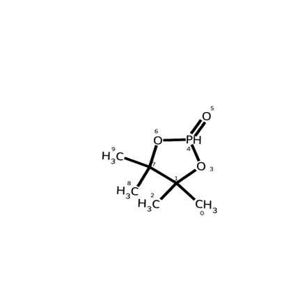 CC1(C)O[PH](=O)OC1(C)C